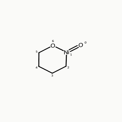 [O]=[Ni]1[CH2]CCC[O]1